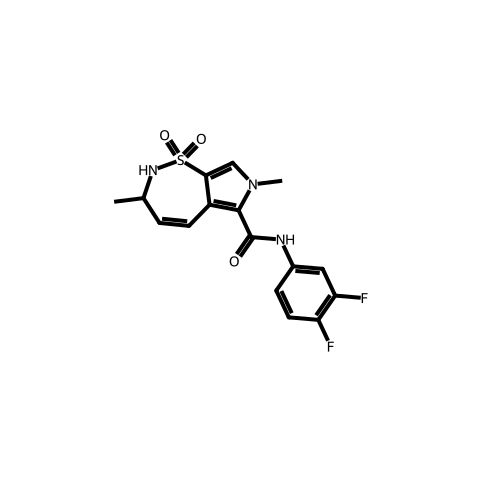 CC1C=Cc2c(cn(C)c2C(=O)Nc2ccc(F)c(F)c2)S(=O)(=O)N1